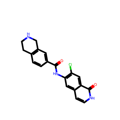 O=C(Nc1cc2cc[nH]c(=O)c2cc1Cl)c1ccc2c(c1)CNCC2